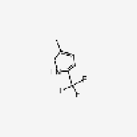 CC1=[C]C=C(C(F)(F)F)NC1